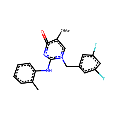 COc1cn(Cc2cc(F)cc(F)c2)c(Nc2ccccc2C)nc1=O